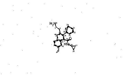 NCCc1nc2ccc(F)cc2c(C(=O)NC2CC2)c1-c1ccccn1